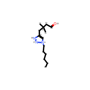 CCCCCCn1cc(CC(C)(C)CC=O)nn1